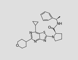 C[C@@H](NC(=O)[C@H]1CCCN1c1nc2nc(C3CCOCC3)nc(C3CC3)c2s1)c1ccccc1